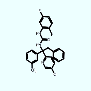 O=C(Nc1cc(F)ccc1F)NC(Cc1ccccc1)(c1cccc(C(F)(F)F)c1)c1ccc(Cl)cn1